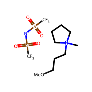 COCCC[N+]1(C)CCCC1.O=S(=O)([N-]S(=O)(=O)C(F)(F)F)C(F)(F)F